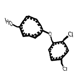 Oc1ccc(Oc2ccc(Cl)cc2Cl)cc1